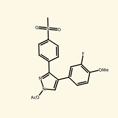 COc1ccc(-c2cn(OC(C)=O)nc2-c2ccc(S(C)(=O)=O)cc2)cc1F